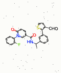 CC(NC(=O)c1ccc(=O)n(-c2ccccc2F)c1)c1cccc(-c2sccc2C=O)c1